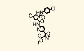 CCOC(=O)c1ncoc1-c1ccc(NC(=O)[C@H]2C[C@@H](OC)CN2C(=O)Nc2ccc(Cl)cc2)nc1